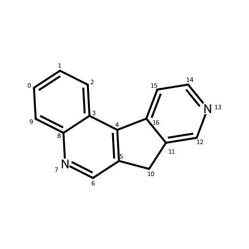 c1ccc2c3c(cnc2c1)Cc1cnccc1-3